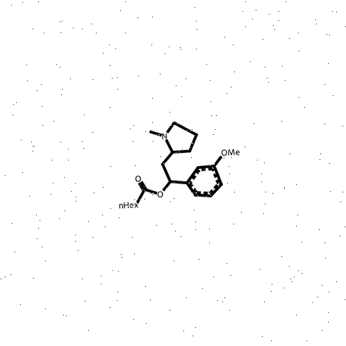 CCCCCCC(=O)OC(CC1CCCN1C)c1cccc(OC)c1